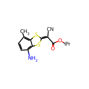 Cc1ccc(N)c2c1S/C(=C(\C#N)C(=O)OC(C)C)S2